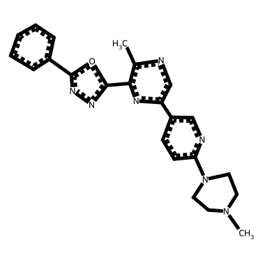 Cc1ncc(-c2ccc(N3CCN(C)CC3)nc2)nc1-c1nnc(-c2ccccc2)o1